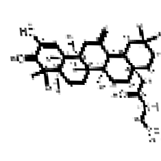 C=C1C[C@@H]2[C@@]3(C)C=C(C#N)C(=O)C(C)(C)[C@@H]3CC[C@@]2(C)[C@]2(C)CC[C@@]3(CC(=O)NCC(F)(F)F)CCC(C)(C)CC3C12